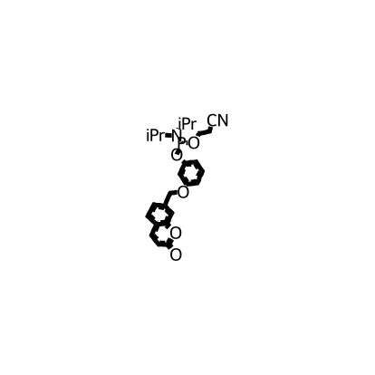 CC(C)N(C(C)C)P(OCCC#N)Oc1cccc(OCc2ccc3ccc(=O)oc3c2)c1